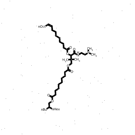 CCCCCCCC/C=C\CCCCCCCC(=O)OC(C(=O)NCCN(C)C)C(C)(C)COC(=O)CCCCCCCCC(=O)OCC(CCCC)CCCCCC